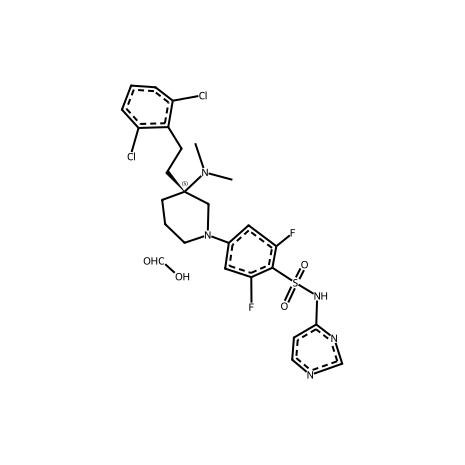 CN(C)[C@@]1(CCc2c(Cl)cccc2Cl)CCCN(c2cc(F)c(S(=O)(=O)Nc3ccncn3)c(F)c2)C1.O=CO